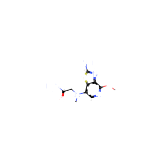 COc1ncc(N(C)CC(N)=O)c2sc(N)nc12